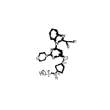 O=C(O)N[C@@H]1CC[C@H](Oc2cc(-n3c(C(F)F)nc4ccccc43)nc(N3CCOCC3)n2)C1